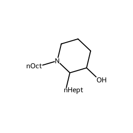 CCCCCCCCN1CCCC(O)C1CCCCCCC